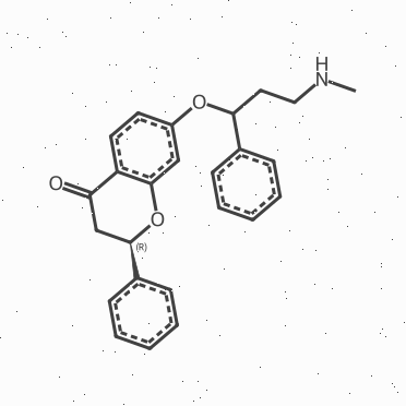 CNCCC(Oc1ccc2c(c1)O[C@@H](c1ccccc1)CC2=O)c1ccccc1